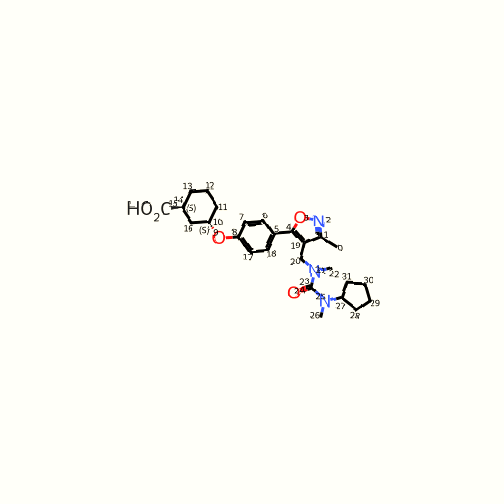 Cc1noc(-c2ccc(O[C@H]3CCC[C@H](C(=O)O)C3)cc2)c1CN(C)C(=O)N(C)C1CCCC1